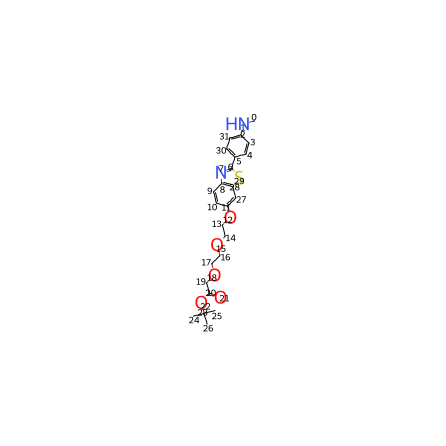 CNc1ccc(-c2nc3ccc(OCCOCCOCC(=O)OC(C)(C)C)cc3s2)cc1